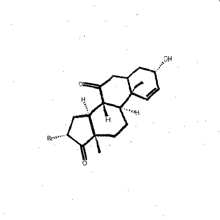 C[C@]12C=C[C@@H](O)CC1CC(=O)[C@@H]1[C@@H]2CC[C@]2(C)C(=O)[C@H](Br)C[C@@H]12